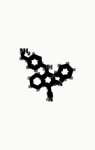 N#Cc1c2c(c(Nc3ccc(CN)cc3)n3c1nc1ccccc13)CCCC2